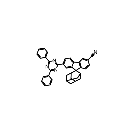 N#Cc1ccc2c(c1)-c1ccc(-c3nc(-c4ccccc4)nc(-c4ccccc4)n3)cc1C21C2CC3CC(C2)CC1C3